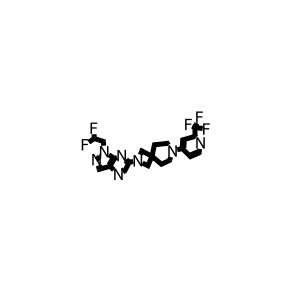 FC(F)Cn1ncc2ncc(N3CC4(CCN(c5ccnc(C(F)(F)F)c5)CC4)C3)nc21